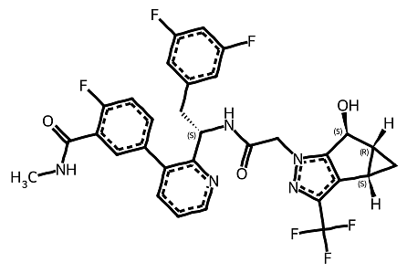 CNC(=O)c1cc(-c2cccnc2[C@H](Cc2cc(F)cc(F)c2)NC(=O)Cn2nc(C(F)(F)F)c3c2[C@@H](O)[C@@H]2C[C@H]32)ccc1F